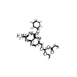 CCOC(OCc1cnc2nc(N)nc(OC3CCCCC3)c2n1)OC(=O)CC